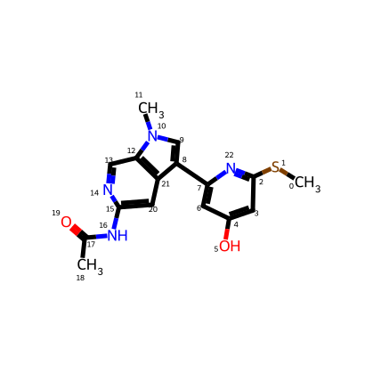 CSc1cc(O)cc(-c2cn(C)c3cnc(NC(C)=O)cc23)n1